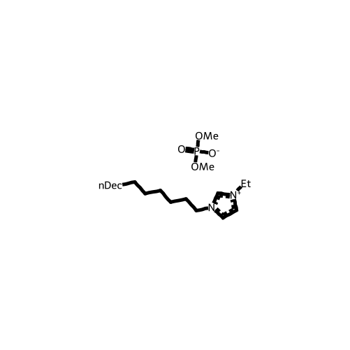 CCCCCCCCCCCCCCCCn1cc[n+](CC)c1.COP(=O)([O-])OC